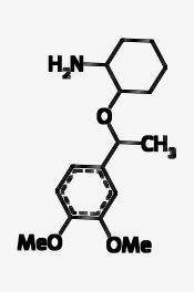 COc1ccc(C(C)OC2CCCCC2N)cc1OC